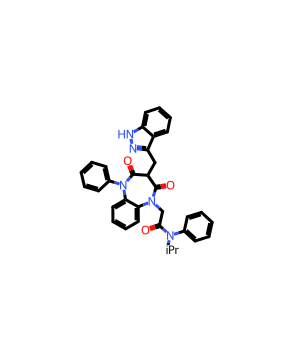 CC(C)N(C(=O)CN1C(=O)C(Cc2n[nH]c3ccccc23)C(=O)N(c2ccccc2)c2ccccc21)c1ccccc1